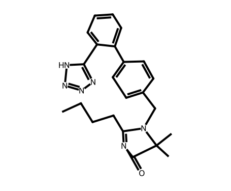 CCCCC1=NC(=O)C(C)(C)N1Cc1ccc(-c2ccccc2-c2nnn[nH]2)cc1